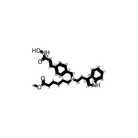 COC(=O)CCCCCN(CCc1c[nH]c2ccccc12)Cc1ccc(/C=C/C(=O)NO)cc1